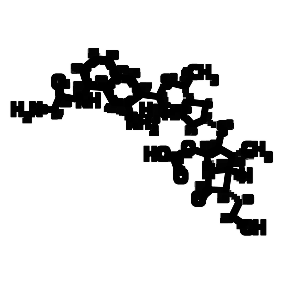 CC(SC(C)[C@@H]1C[C@H](SC2=C(OC(=O)O)N3C(=O)[C@@H](CCO)[C@H]3[C@H]2C)CN1)c1cc2cccc(NC(=O)CN)c2cc1N